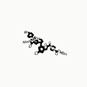 CNC(=O)c1cc2c(-c3cc(Cl)cc4c3OC(C(=O)N3CCN(C(=O)OC(C)(C)C)CC3)C4)ccnc2n1S(=O)(=O)c1ccc(Br)cc1